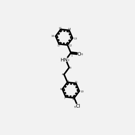 O=C(NCCc1ccc(Cl)cc1)c1ccccc1